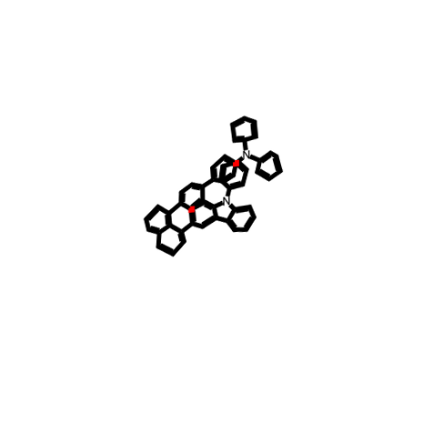 c1ccc(N(c2ccccc2)c2ccc(-c3ccc(-c4cccc5cccc(-c6ccc7c(c6)c6ccccc6n7-c6ccccc6)c45)cc3)cc2)cc1